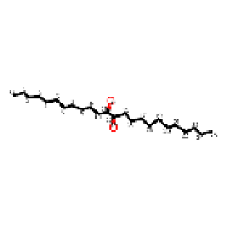 CCCCCCCCCCCC(=O)C(=O)CCCCCCCCCCC